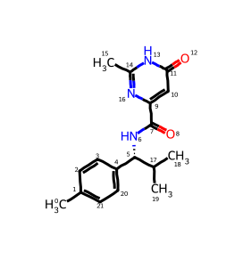 Cc1ccc([C@H](NC(=O)c2cc(=O)[nH]c(C)n2)C(C)C)cc1